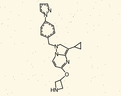 C1=CN2C(=C(C3CC3)CN2Cc2ccc(-n3cccn3)cc2)N=C1OC1CNC1